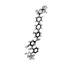 CN(c1ccccc1Nc1nc(Nc2ccc(N3CCC(N4CCN(C(=O)OC(C)(C)C)CC4)CC3)c(F)c2)ncc1Cl)S(C)(=O)=O